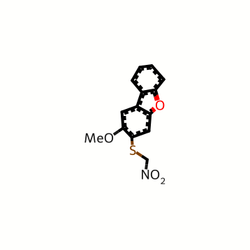 COc1cc2c(cc1SC[N+](=O)[O-])oc1ccccc12